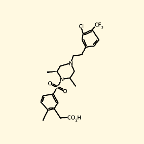 Cc1ccc(S(=O)(=O)N2C(C)CN(CCc3ccc(C(F)(F)F)c(Cl)c3)C[C@@H]2C)cc1CC(=O)O